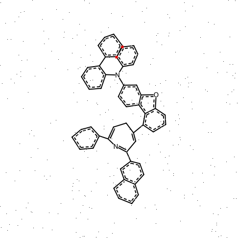 C1=C(c2ccccc2)N=C(c2ccc3ccccc3c2)C=C(c2cccc3oc4cc(N(c5ccccc5)c5ccccc5-c5ccccc5)ccc4c23)C1